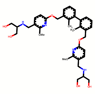 COc1nc(OCc2cccc(-c3cccc(COc4ccc(CNC(CO)CO)c(OC)n4)c3C)c2C)ccc1CNC(CO)CO